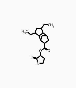 CCC1CC(CC)C2C3CC(CC3C(=O)OC3CCOC3=O)C12